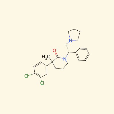 CC1(c2ccc(Cl)c(Cl)c2)CCCN([C@H](CN2CCCC2)c2ccccc2)C1=O